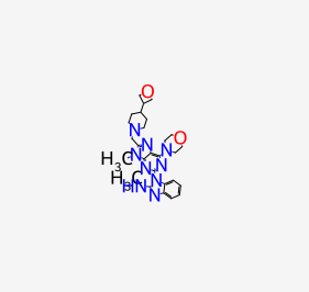 CNc1nc2ccccc2n1-c1nc(N2CCOCC2)c2nc(CN3CCC(C4COC4)CC3)n(C)c2n1